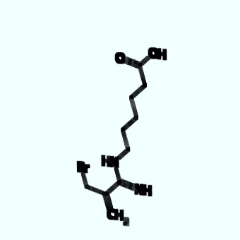 C=C(CBr)C(=N)NCCCCCC(=O)O